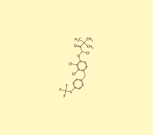 CC(C)(C)C(=O)C(Cl)Oc1ccc(Cc2ccc(SC(F)(F)F)cc2)c(Cl)c1Cl